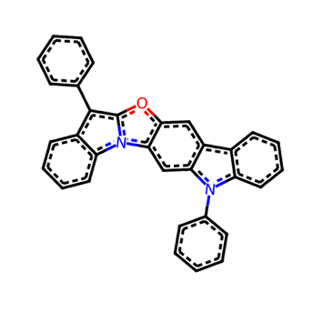 c1ccc(-c2c3ccccc3n3c2oc2cc4c5ccccc5n(-c5ccccc5)c4cc23)cc1